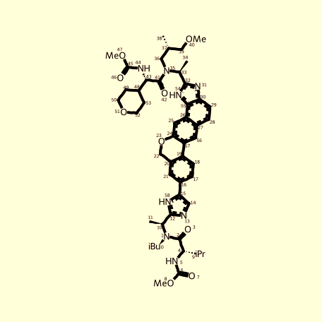 CC[C@H](C)N(C(=O)[C@@H](NC(=O)OC)C(C)C)[C@@H](C)c1ncc(-c2ccc3c(c2)COc2cc4c(ccc5nc([C@H](C)N(C[C@H](C)COC)C(=O)[C@@H](NC(=O)OC)C6CCOCC6)[nH]c54)cc2-3)[nH]1